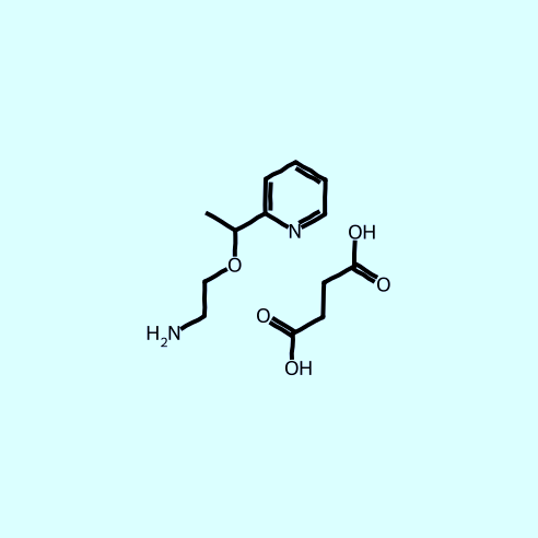 CC(OCCN)c1ccccn1.O=C(O)CCC(=O)O